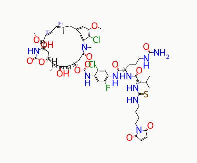 COc1cc2cc(c1Cl)N(C)C(=O)C[C@H](OC(=O)Nc1cc(F)c(NC(=O)[C@H](CCCNC(N)=O)NC(=O)[C@@H](NC(=S)NCCCCN3C(=O)C=CC3=O)C(C)C)cc1Cl)[C@@H](C)[C@@H](O)[C@H](C)[C@@H]1C[C@@](O)(NC(=O)O1)[C@H](OC)/C=C/C=C(\C)C2